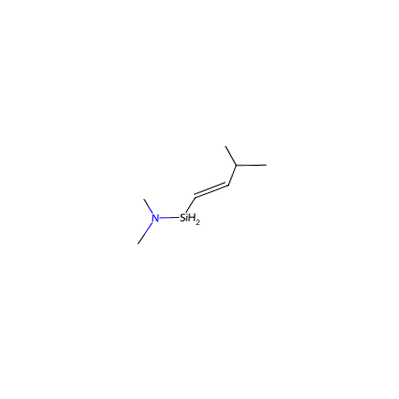 CC(C)C=C[SiH2]N(C)C